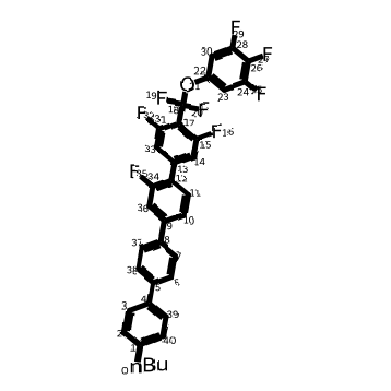 CCCCc1ccc(-c2ccc(-c3ccc(-c4cc(F)c(C(F)(F)Oc5cc(F)c(F)c(F)c5)c(F)c4)c(F)c3)cc2)cc1